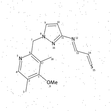 COc1c(C)cnc(Cn2ccc(N=CC=S)n2)c1C